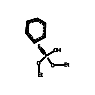 CCOP(O)(=S)OCC.c1ccccc1